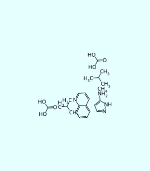 C.CC(C)C.CC(C)C.Nc1ccn[nH]1.O=C(O)O.O=C(O)O.c1ccc2ncccc2c1